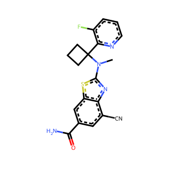 CN(c1nc2c(C#N)cc(C(N)=O)cc2s1)C1(c2ncccc2F)CCC1